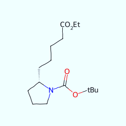 CCOC(=O)CCCC[C@H]1CCCN1C(=O)OC(C)(C)C